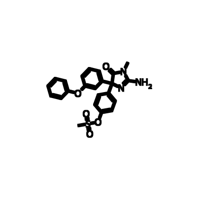 CN1C(=O)C(c2ccc(OS(C)(=O)=O)cc2)(c2cccc(Oc3ccccc3)c2)N=C1N